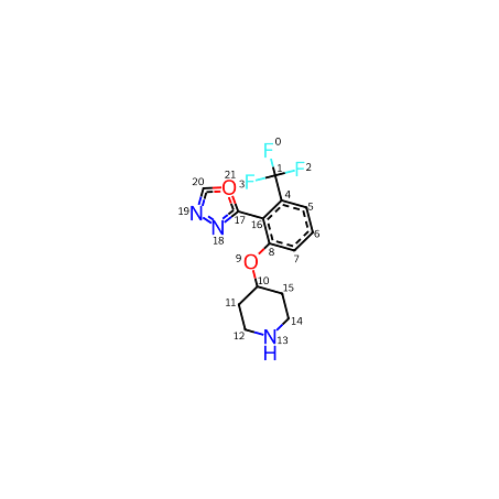 FC(F)(F)c1cccc(OC2CCNCC2)c1-c1nnco1